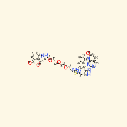 O=Cc1cccc(NCCOCCOCCOCCNSN2CCC(Nc3ncc4ccc(=O)n(C5CCCC5)c4n3)CC2)c1C=O